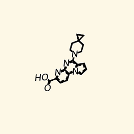 O=C(O)c1ccc2c(n1)nc(N1CCC3(CC1)CC3)c1cccn12